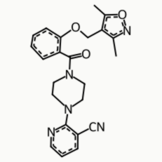 Cc1noc(C)c1COc1ccccc1C(=O)N1CCN(c2ncccc2C#N)CC1